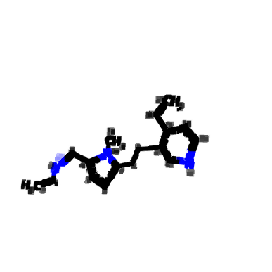 C=C/N=C\c1ccc(CCc2cnccc2C=C)n1C